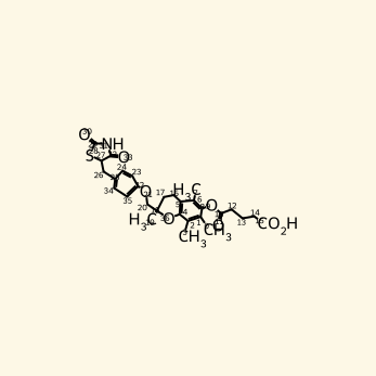 Cc1c(C)c2c(c(C)c1OC(=O)CCCC(=O)O)CCC(C)(COc1ccc(CC3SC(=O)NC3=O)cc1)O2